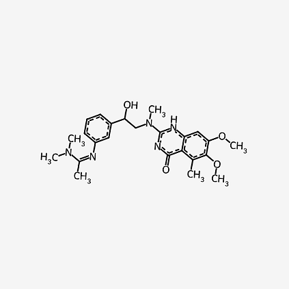 COc1cc2[nH]c(N(C)CC(O)c3cccc(N=C(C)N(C)C)c3)nc(=O)c2c(C)c1OC